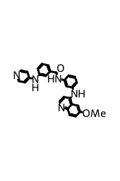 COc1ccc2nccc(Nc3cccc(NC(=O)c4cccc(Nc5ccncc5)c4)c3)c2c1